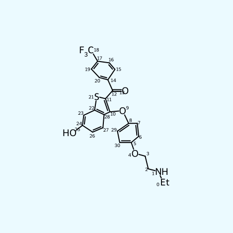 CCNCCOc1ccc(Oc2c(C(=O)c3ccc(C(F)(F)F)cc3)sc3cc(O)ccc23)cc1